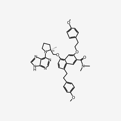 COc1ccc(CCOc2cc3c(OC[C@]4(C)CCCN4c4ncnc5[nH]cnc45)ccc(CCc4ccc(OC)cc4)c3cc2C(=O)N(C)C)cc1